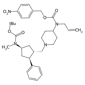 C=CCN(C(=O)OCc1ccc([N+](=O)[O-])cc1)C1CCN(C[C@H]2C[C@H](N(C)C(=O)OC(C)(C)C)C[C@@H]2c2ccccc2)CC1